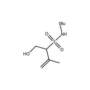 C=C(C)C(CO)S(=O)(=O)NC(C)(C)C